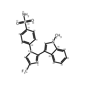 Cn1cc(-c2nc(C(F)(F)F)cn2-c2ccc(S(N)(=O)=O)cc2)c2ccccc21